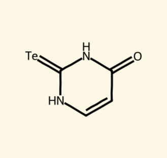 O=c1cc[nH]c(=[Te])[nH]1